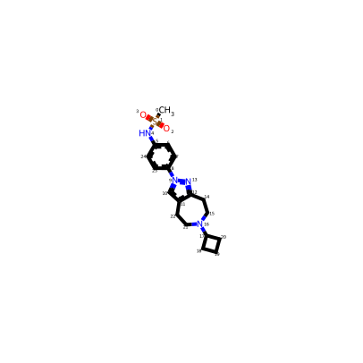 CS(=O)(=O)Nc1ccc(-n2cc3c(n2)CCN(C2CCC2)CC3)cc1